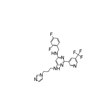 Fc1ccc(CNc2cc(NCCCn3ccnc3)nc(-c3cncc(C(F)(F)F)c3)n2)c(F)c1